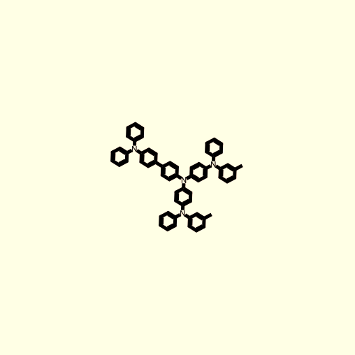 Cc1cccc(N(c2ccccc2)c2ccc(N(c3ccc(-c4ccc(N(c5ccccc5)c5ccccc5)cc4)cc3)c3ccc(N(c4ccccc4)c4cccc(C)c4)cc3)cc2)c1